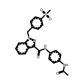 CC(=O)Nc1ccc(NC(=O)c2nn(Cc3ccc(S(C)(=O)=O)cc3)c3ccccc23)cc1